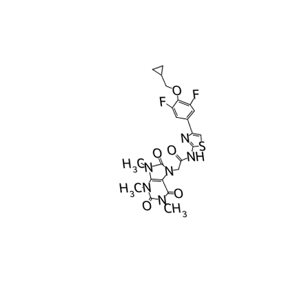 Cn1c(=O)c2c(n(C)c1=O)n(C)c(=O)n2CC(=O)Nc1nc(-c2cc(F)c(OCC3CC3)c(F)c2)cs1